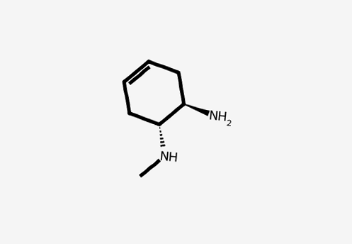 CN[C@@H]1CC=CC[C@H]1N